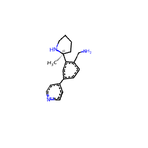 C[C@@]1(c2cc(-c3ccncc3)ccc2CN)CCCCN1